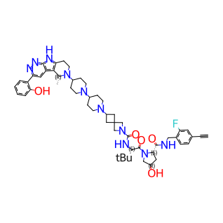 C#Cc1ccc(CNC(=O)[C@@H]2C[C@@H](O)CN2C(=O)[C@@H](NC(=O)N2CC3(CC(N4CCC(N5CCC(N6CCc7[nH]c8nnc(-c9ccccc9O)cc8c7[C@H]6C)CC5)CC4)C3)C2)C(C)(C)C)c(F)c1